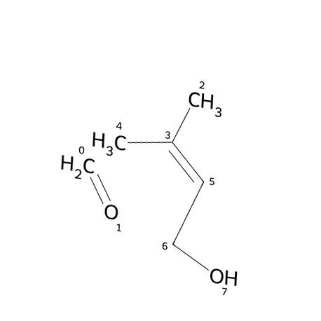 C=O.CC(C)=CCO